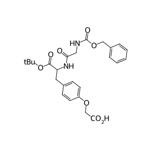 CC(C)(C)OC(=O)C(Cc1ccc(OCC(=O)O)cc1)NC(=O)CNC(=O)OCc1ccccc1